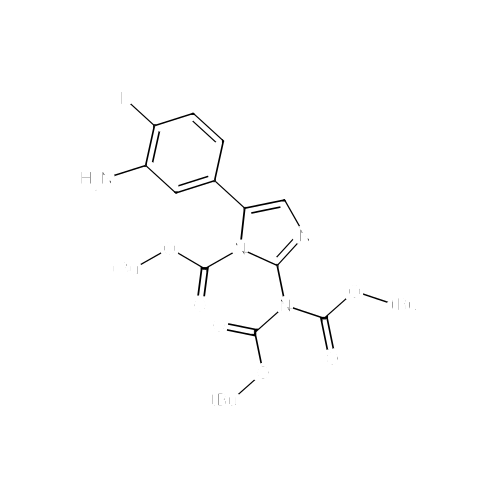 CC(C)(C)OC(=O)N(C(=O)OC(C)(C)C)c1ncc(-c2ccc(F)c(N)c2)n1C(=O)OC(C)(C)C